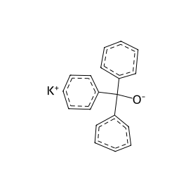 [K+].[O-]C(c1ccccc1)(c1ccccc1)c1ccccc1